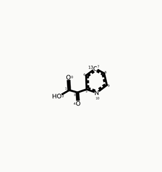 O=C(O)C(=O)c1c[13cH]ccn1